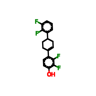 Oc1ccc(C2=CCC(c3cccc(F)c3F)CC2)c(F)c1F